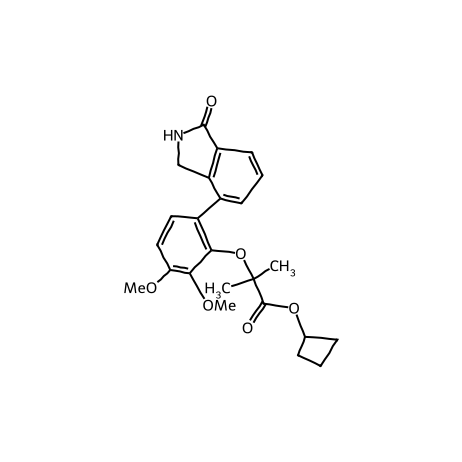 COc1ccc(-c2cccc3c2CNC3=O)c(OC(C)(C)C(=O)OC2CCC2)c1OC